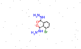 NNC(=O)c1cccc(Br)c1C(=O)NN